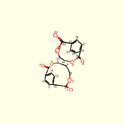 O=C1OCCCOC(=O)c2ccc1cc2.O=C1OCCOC(=O)c2ccc1cc2